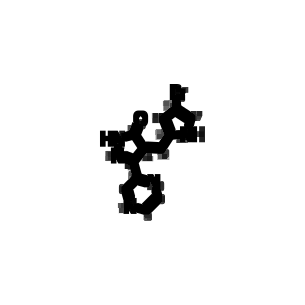 O=C1NN=C(c2cnccn2)C1=Cc1cc(Br)c[nH]1